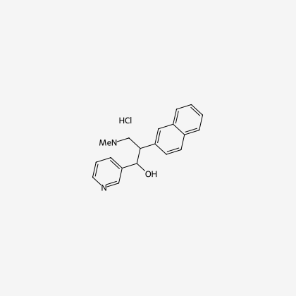 CNCC(c1ccc2ccccc2c1)C(O)c1cccnc1.Cl